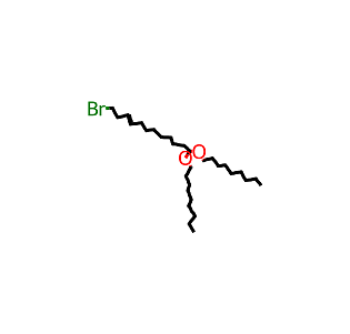 CCCCCCCCCOC(CCCCCCC/C=C/CCBr)OCCCCCCCCC